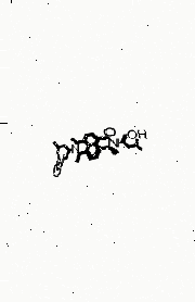 C=C1c2ccc3c(=C)n(C(CO)CC(C)C)c(=O)c4ccc(c2c34)C(=C)N1C(CN=O)CC(C)C